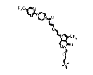 C[Si](C)(C)CCOCn1ncc2c(c(C(F)(F)F)cn2CCO/C=C/C(=O)N2CCN(c3ncc(C(F)(F)F)cn3)CC2)c1=O